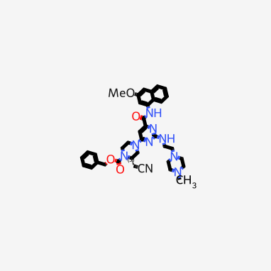 COc1cc(NC(=O)c2cc(N3CCN(C(=O)OCc4ccccc4)[C@@H](CC#N)C3)nc(NCCN3CCN(C)CC3)n2)c2ccccc2c1